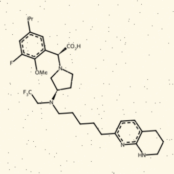 COc1c(F)cc(C(C)C)cc1[C@@H](C(=O)O)N1CC[C@@H](N(CCCCCc2ccc3c(n2)NCCC3)CC(F)(F)F)C1